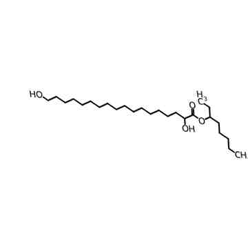 CCCCCC(CC)OC(=O)C(O)CCCCCCCCCCCCCCCCO